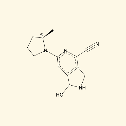 C[C@@H]1CCCN1c1cc2c(c(C#N)n1)CNC2O